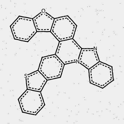 c1ccc2c(c1)nc1c3ccc4oc5ccccc5c4c3c3cc4sc5ccccc5c4cc3n21